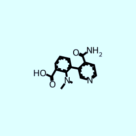 CN(C)c1c(C(=O)O)cccc1-c1cnccc1C(N)=O